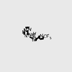 FC(F)(F)c1ccc(-c2cnc(CNc3ncnn4ccnc34)[nH]2)cn1